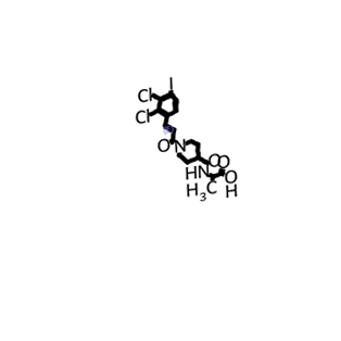 CC(NC(=O)C1CCN(C(=O)/C=C/c2ccc(I)c(Cl)c2Cl)CC1)C(=O)O